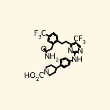 NC(=O)Cc1cc(C(F)(F)F)ccc1CCc1nc(Nc2ccc(C3CCN(C(=O)O)CC3)cc2)ncc1C(F)(F)F